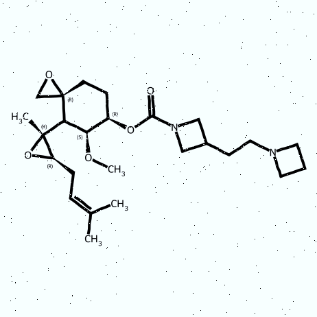 CO[C@H]1C([C@@]2(C)O[C@@H]2CC=C(C)C)[C@]2(CC[C@H]1OC(=O)N1CC(CCN3CCC3)C1)CO2